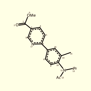 COC(=O)c1ccc(-c2ccc(N(C(C)=O)C(C)C)c(C)c2)nc1